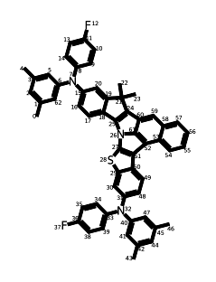 Cc1cc(C)cc(N(c2ccc(F)cc2)c2ccc3c(c2)C(C)(C)c2c-3n3c4sc5cc(N(c6ccc(F)cc6)c6cc(C)cc(C)c6)ccc5c4c4c5ccccc5cc2c43)c1